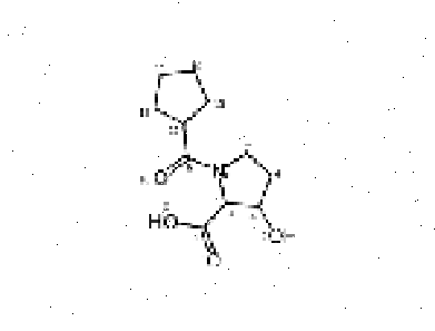 O=C(O)C1C(O)CCN1C(=O)C1CCCC1